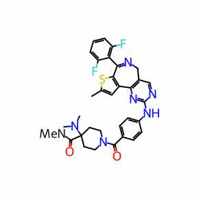 CNC(=O)C1(N(C)C)CCN(C(=O)c2ccc(Nc3ncc4c(n3)-c3cc(C)sc3C(c3c(F)cccc3F)=NC4)cc2)CC1